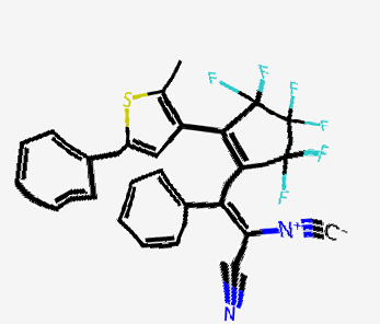 [C-]#[N+]/C(C#N)=C(\C1=C(c2cc(-c3ccccc3)sc2C)C(F)(F)C(F)(F)C1(F)F)c1ccccc1